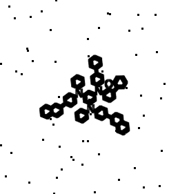 c1ccc(-c2ccc(N(c3cc(N(c4ccccc4)c4ccc(-c5ccc6ccccc6c5)cc4)cc(N(c4ccccc4)c4ccc(-c5ccc6ccccc6c5)cc4)c3)c3cccc4c3oc3ccccc34)cc2)cc1